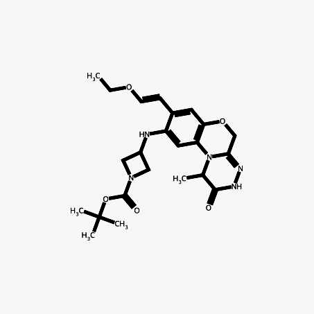 CCO/C=C/c1cc2c(cc1NC1CN(C(=O)OC(C)(C)C)C1)N1C(=NNC(=O)C1C)CO2